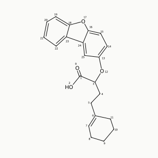 O=C(O)C(CCC1=CCCCC1)Oc1ccc2oc3ccccc3c2c1